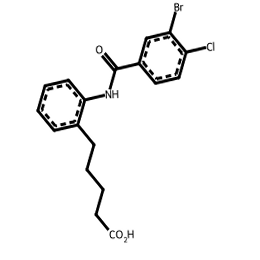 O=C(O)CCCCc1ccccc1NC(=O)c1ccc(Cl)c(Br)c1